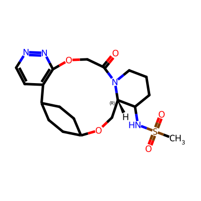 CS(=O)(=O)NC1CCCN2C(=O)COc3nnccc3C3CCC(CC3)OC[C@@H]12